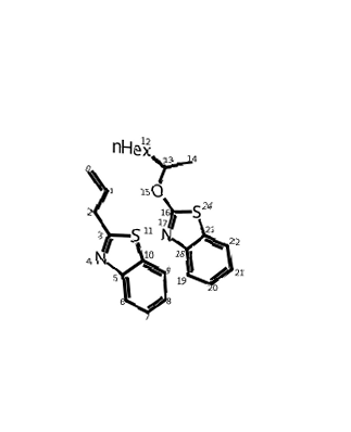 C=CCc1nc2ccccc2s1.CCCCCCC(C)Oc1nc2ccccc2s1